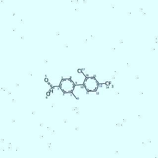 Cc1cc([SH](=O)=O)ccc1-c1ccc(C(F)(F)F)cc1Cl